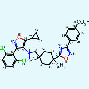 CCCC1(CNc2c(-c3c(Cl)cccc3Cl)noc2C2CC2)CCC(C)(c2nc(-c3ccc(C(=O)O)cc3)no2)CC1